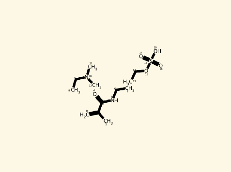 C=C(C)C(=O)NCC.CCN(C)C.CCOS(=O)(=O)O